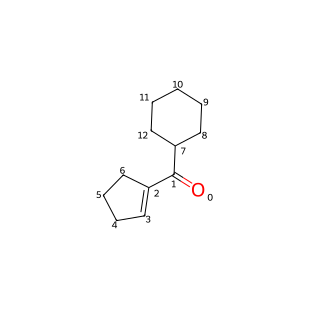 O=C(C1=CCCC1)C1CCCCC1